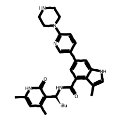 CC[C@H](C)C(NC(=O)c1cc(-c2ccc(N3CCNCC3)nc2)cc2[nH]cc(C)c12)c1c(C)cc(C)[nH]c1=O